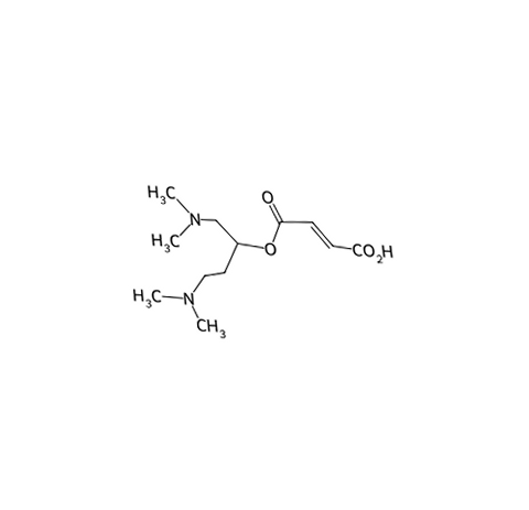 CN(C)CCC(CN(C)C)OC(=O)C=CC(=O)O